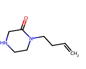 C=CCCN1CCNCC1=O